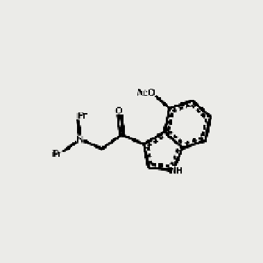 CC(=O)Oc1cccc2[nH]cc(C(=O)CN(C(C)C)C(C)C)c12